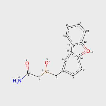 NC(=O)C[S+]([O-])Cc1ccc2oc3ccccc3c2c1